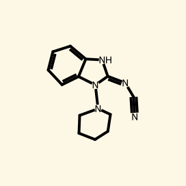 N#CN=c1[nH]c2ccccc2n1N1CCCCC1